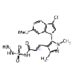 CCCCNS(=O)(=O)NC(=O)/C=C/c1c(C)nn(C)c1-n1cc(Cl)c2ccc(OC)cc21